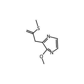 C=C(Cc1nccnc1OC)SC